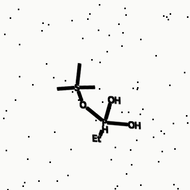 CC[PH](O)(O)OS(C)(C)C